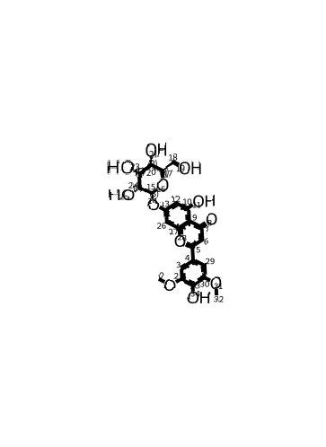 COc1cc(-c2cc(=O)c3c(O)cc(O[C@@H]4O[C@H](CO)[C@H](O)[C@H](O)[C@H]4O)cc3o2)cc(OC)c1O